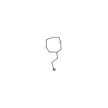 BrCC[C]1CCCCCCC1